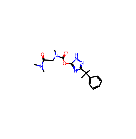 CN(C)C(=O)CN(C)C(=O)Oc1nc(C(C)(C)c2ccccc2)n[nH]1